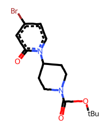 CC(C)(C)OC(=O)N1CCC(n2ccc(Br)cc2=O)CC1